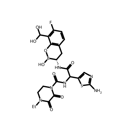 CCN1CCN(C(=O)NC(C(=O)N[C@H]2Cc3ccc(F)c(C(O)O)c3OB2O)c2cnc(N)s2)C(=O)C1=O